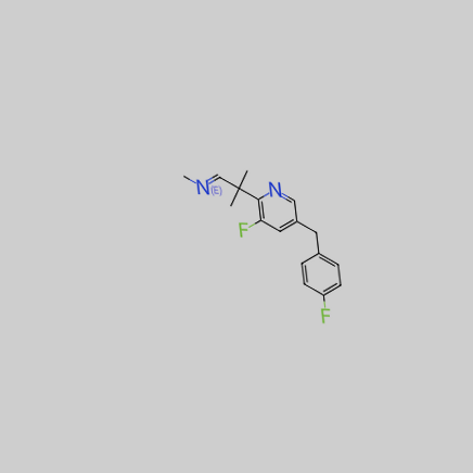 C/N=C/C(C)(C)c1ncc(Cc2ccc(F)cc2)cc1F